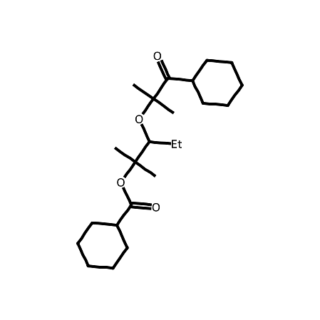 CCC(OC(C)(C)C(=O)C1CCCCC1)C(C)(C)OC(=O)C1CCCCC1